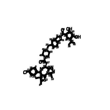 Cc1sc2c(c1C)C(c1ccc(Cl)cc1)=N[C@@H](CC(=O)N1CCN(Cc3ccc4c(c3)CN(C(=O)c3cc(C(C)C)c(O)cc3O)C4)CC1)c1nnc(C)n1-2